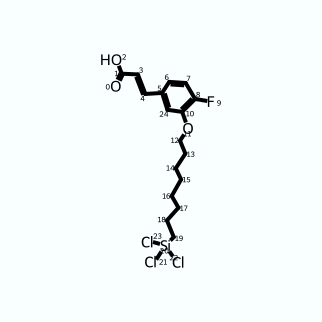 O=C(O)/C=C/c1ccc(F)c(OCCCCCCCC[Si](Cl)(Cl)Cl)c1